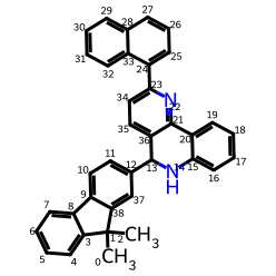 CC1(C)c2ccccc2-c2ccc(C3Nc4ccccc4-c4nc(-c5cccc6ccccc56)ccc43)cc21